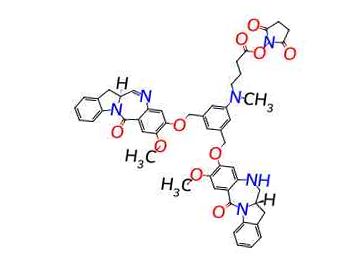 COc1cc2c(cc1OCc1cc(COc3cc4c(cc3OC)C(=O)N3c5ccccc5C[C@H]3CN4)cc(N(C)CCCC(=O)ON3C(=O)CCC3=O)c1)N=C[C@@H]1Cc3ccccc3N1C2=O